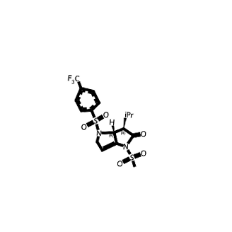 CC(C)[C@H]1C(=O)N(S(C)(=O)=O)C2=CCN(S(=O)(=O)c3ccc(C(F)(F)F)cc3)[C@@H]21